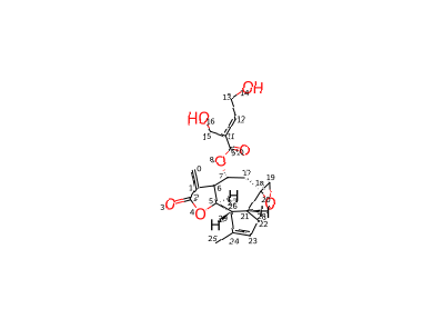 C=C1C(=O)O[C@H]2C1[C@H](OC(=O)/C(=C/CO)CO)C[C@@]1(CO1)[C@@H]1CC=C(C)[C@@H]12